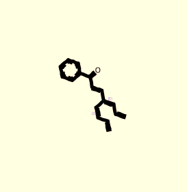 C=C/C=C\C(C=CC(=O)c1ccccc1)=C/C=C